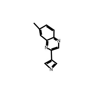 Cc1ccc2ncc(C3=CN=C3)nc2c1